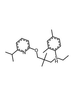 CC[SH](CC(C)(C)COc1cccc(C(C)C)n1)c1ccc(C)cc1C